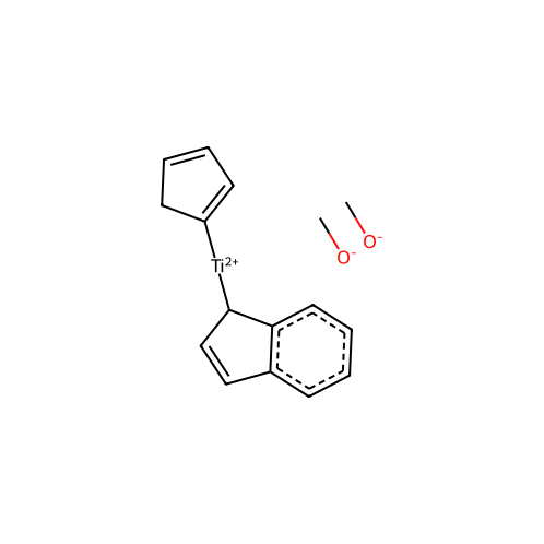 C1=CC[C]([Ti+2][CH]2C=Cc3ccccc32)=C1.C[O-].C[O-]